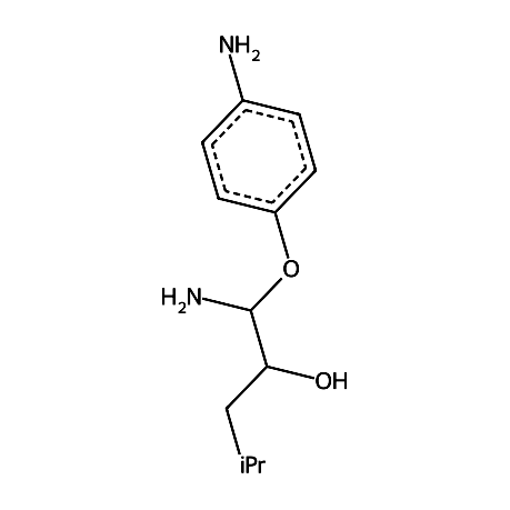 CC(C)CC(O)C(N)Oc1ccc(N)cc1